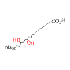 CCCCCCCCCCCCC(O)CCC(O)CCCCCCCCCCCCCC(=O)O